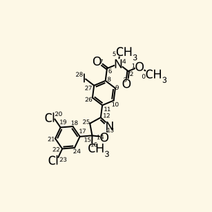 COC(=O)N(C)C(=O)c1ccc(C2=NOC(C)(c3cc(Cl)cc(Cl)c3)C2)cc1I